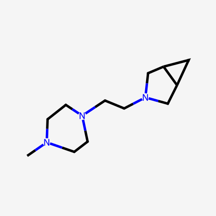 CN1CCN(CCN2CC3CC3C2)CC1